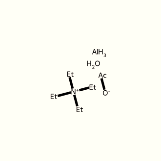 CC(=O)[O-].CC[N+](CC)(CC)CC.O.[AlH3]